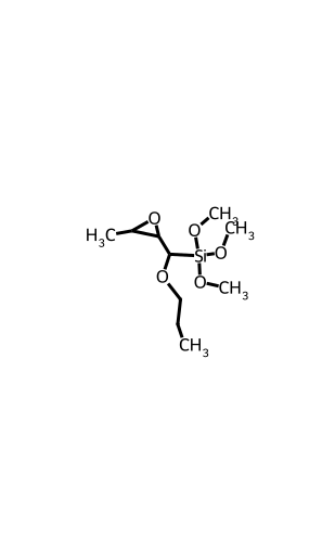 CCCOC(C1OC1C)[Si](OC)(OC)OC